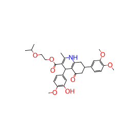 COc1ccc(C2C(C(=O)OCCOC(C)C)=C(C)NC3=C2C(=O)CC(c2ccc(OC)c(OC)c2)C3)cc1O